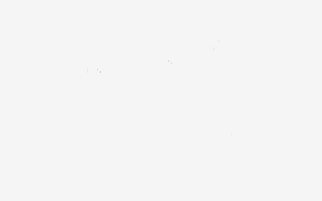 CC(c1ccc(F)c(F)c1)N1CCO[C@@H](CN)C1.Cl.Cl